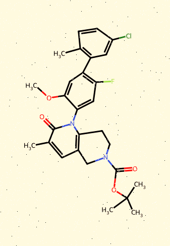 COc1cc(-c2cc(Cl)ccc2C)c(F)cc1-n1c2c(cc(C)c1=O)CN(C(=O)OC(C)(C)C)CC2